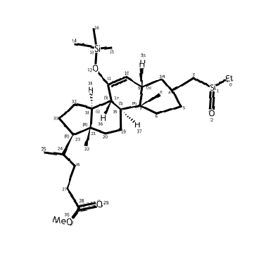 CC[Si](=O)CC1CC[C@@]2(C)[C@H](C=C(O[Si](C)(C)C)[C@@H]3[C@@H]2CC[C@]2(C)[C@@H](C(C)CCC(=O)OC)CC[C@@H]32)C1